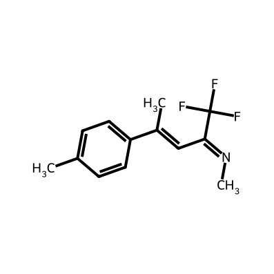 C/N=C(\C=C(/C)c1ccc(C)cc1)C(F)(F)F